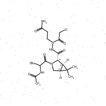 CC(C)(C)C(NC(=O)C(F)(F)F)C(=O)N1C[C@H]2[C@@H]([C@H]1C(=O)NN(CCC(N)=O)C(=O)CCl)C2(C)C